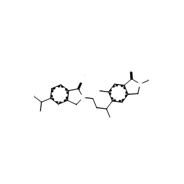 CC(C)c1ccc2c(c1)CN(CCC(C)c1cc3c(cc1Cl)C(=O)N(C)C3)C2=O